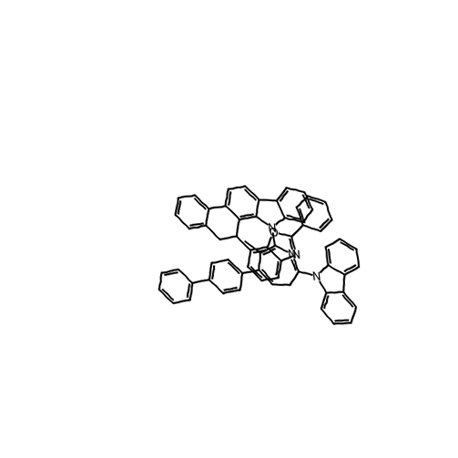 CC1=C(n2c3ccccc3c3ccc4c(c32)C(c2cccc3nc(-c5ccccc5)oc23)Cc2ccccc2-4)N=C(n2c3ccccc3c3ccccc32)CC=C1c1ccc(-c2ccccc2)cc1